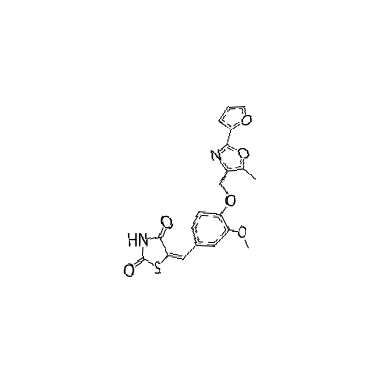 COc1cc(/C=C2/SC(=O)NC2=O)ccc1OCc1nc(-c2ccco2)oc1C